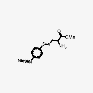 COC(=O)C(N)CSSc1ccc(N=[N+]=[N-])cc1